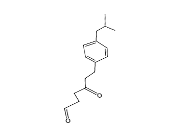 CC(C)Cc1ccc(CCC(=O)CCC=O)cc1